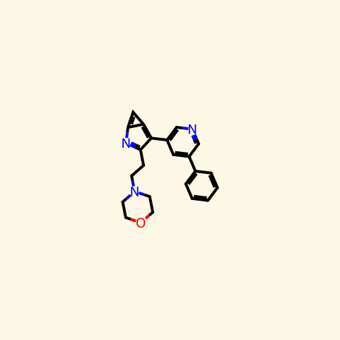 c1ccc(-c2cncc(-c3c4cc-4nc3CCN3CCOCC3)c2)cc1